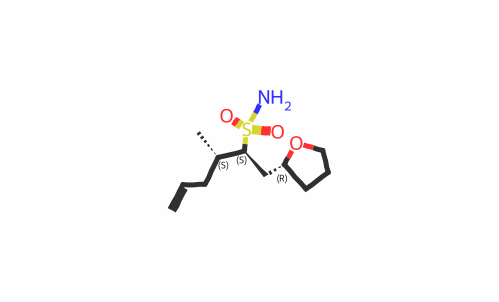 C=CC[C@H](C)[C@H](C[C@H]1CCCO1)S(N)(=O)=O